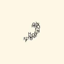 Cc1nc2ccc(CN3CCN(c4ccc(C(=O)NC5CC(F)(F)C5)nc4F)CC3)c(F)c2[nH]c1=O